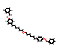 c1ccc(COc2ccc(CCCCCCOCCCCCCc3ccc(OCc4ccccc4)cc3)cc2)cc1